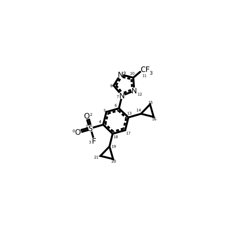 O=S(=O)(F)c1cc(-n2cnc(C(F)(F)F)n2)c(C2CC2)cc1C1CC1